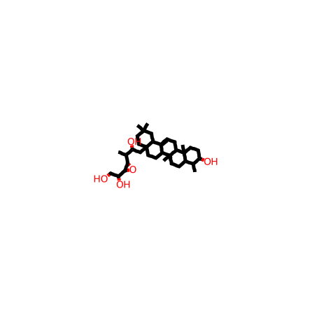 CC(C(O)CC12CCC3C(=CCC4C3(C)CCC3C(C)C(O)CCC34C)C1CC(C)(C)CC2)C1OC1C(O)CO